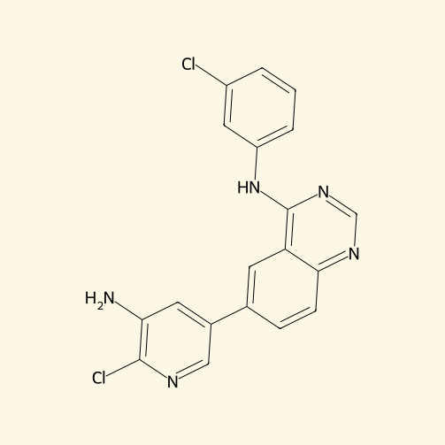 Nc1cc(-c2ccc3ncnc(Nc4cccc(Cl)c4)c3c2)cnc1Cl